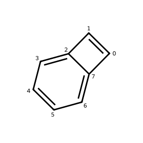 C1=Cc2ccccc21